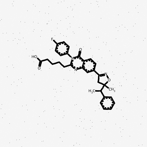 CC(c1ccccc1)C1(C)CC(c2ccc3c(=O)n(-c4ccc(F)cc4)c(CCCCC(=O)O)nc3c2)=NO1